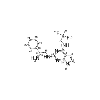 Cn1ncc2c(NCC(C)(F)F)nc(NC[C@H](N)c3ccccc3)nc21